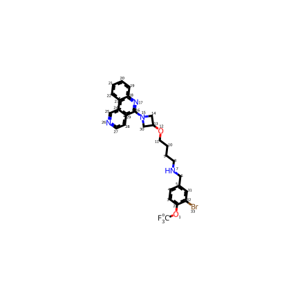 FC(F)(F)Oc1ccc(CNCCCCOC2CN(c3nc4ccccc4c4cnccc34)C2)cc1Br